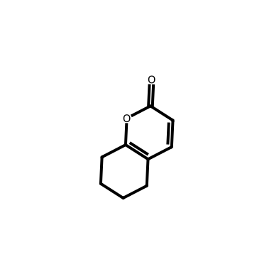 O=c1ccc2c(o1)CCCC2